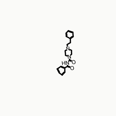 O=C(NC(=O)N1CCN(CCc2ccccc2)CC1)c1ccccc1